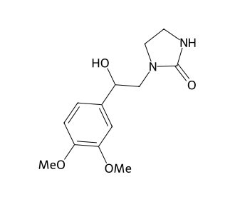 COc1ccc(C(O)CN2CCNC2=O)cc1OC